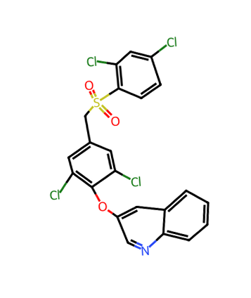 O=S(=O)(Cc1cc(Cl)c(Oc2cnc3ccccc3c2)c(Cl)c1)c1ccc(Cl)cc1Cl